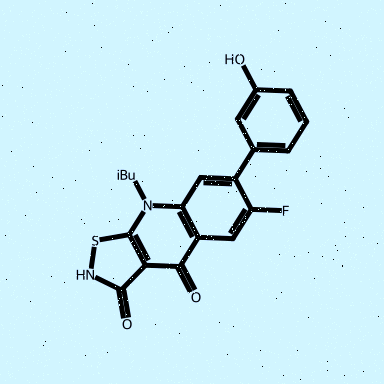 CCC(C)n1c2cc(-c3cccc(O)c3)c(F)cc2c(=O)c2c(=O)[nH]sc21